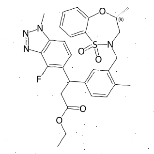 CCOC(=O)CC(c1ccc(C)c(CN2C[C@@H](C)Oc3ccccc3S2(=O)=O)c1)c1ccc2c(nnn2C)c1F